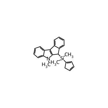 Cn1c2c(c3ccccc31)-c1ccccc1C2[Si](C)(C)C1=CC=CC1